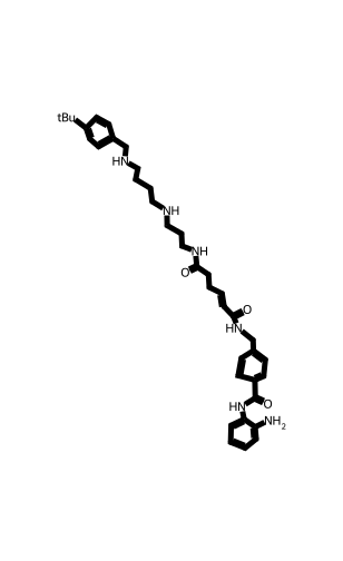 CC(C)(C)c1ccc(CNCCCCNCCCNC(=O)CC/C=C/C(=O)NCc2ccc(C(=O)Nc3ccccc3N)cc2)cc1